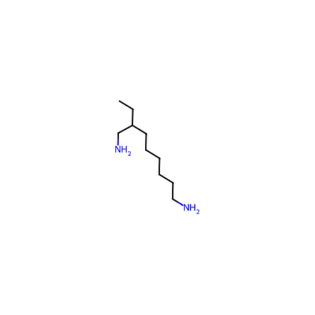 CCC(CN)CCCCCCN